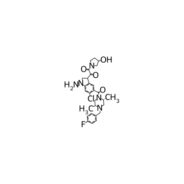 C[C@@H]1CN(Cc2ccc(F)cc2)[C@@H](C)CN1C(=O)c1cc2c(cc1Cl)N(N)CC2C(=O)C(=O)N1CC[C@@H](O)C1